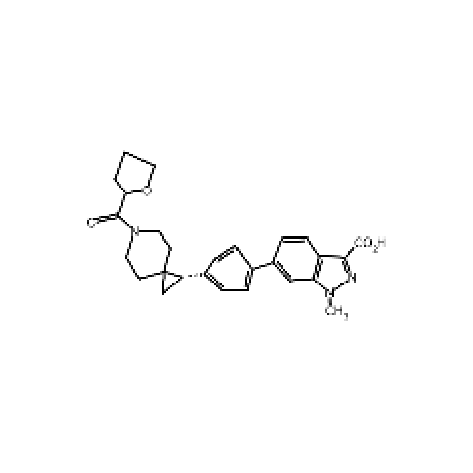 Cn1nc(C(=O)O)c2ccc(-c3ccc([C@@H]4CC45CCN(C(=O)C4CCCO4)CC5)cc3)cc21